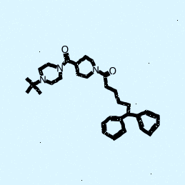 CC(C)(C)N1CCN(C(=O)C2CCN(C(=O)CCCCC(c3ccccc3)c3ccccc3)CC2)CC1